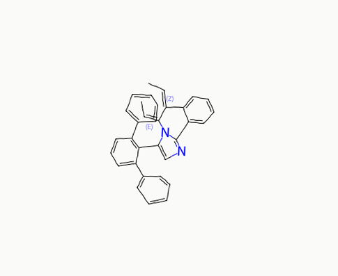 C/C=c1\c(=C/C)n2c(-c3c(-c4ccccc4)cccc3-c3ccccc3)cnc2c2ccccc12